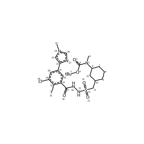 CN(C(=O)OC(C)(C)C)C1CCCC(CS(=O)(=O)NNC(=O)c2cc(-c3cn(C)cn3)cc(Cl)c2F)C1